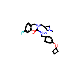 CN1CC(CN(Cc2ccc(F)cc2)C(=O)NCc2ccc(OC3CCC3)cc2)C1